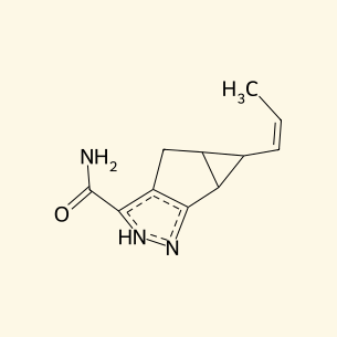 C/C=C\C1C2Cc3c(n[nH]c3C(N)=O)C12